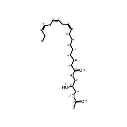 CC/C=C\C/C=C\C/C=C\CCCCCCCC(=O)OCC(O)COC(C)=O